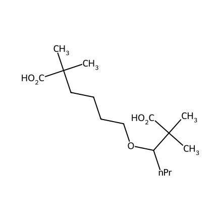 CCCC(OCCCCC(C)(C)C(=O)O)C(C)(C)C(=O)O